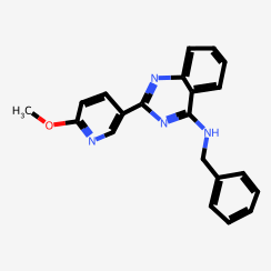 COc1ccc(-c2nc(NCc3ccccc3)c3ccccc3n2)cn1